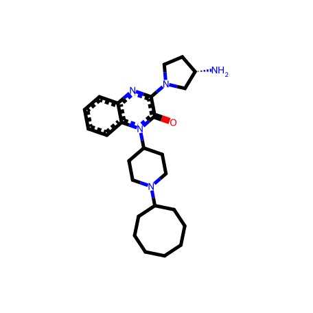 N[C@H]1CCN(c2nc3ccccc3n(C3CCN(C4CCCCCCC4)CC3)c2=O)C1